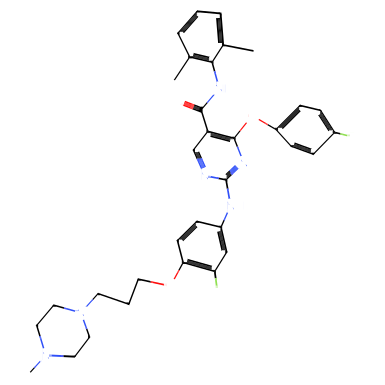 Cc1cccc(C)c1NC(=O)c1cnc(Nc2ccc(OCCCN3CCN(C)CC3)c(F)c2)nc1Oc1ccc(F)cc1